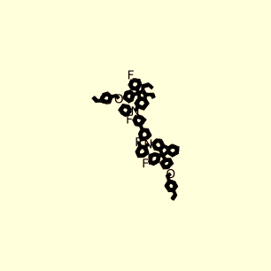 C=CC1=C(/C=C\C)C(c2ccc(F)cc2)(c2ccc(OCc3ccc(C=C)cc3)cc2)c2cc(N(c3ccc(-c4ccc(N(c5ccc6c(c5)C(c5ccc(F)cc5)(c5ccc(OCc7ccc(C=C)cc7)cc5)c5ccccc5-6)c5ccccc5F)cc4)cc3)c3ccccc3F)ccc21